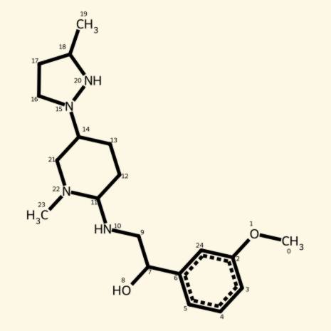 COc1cccc(C(O)CNC2CCC(N3CCC(C)N3)CN2C)c1